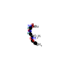 Cc1ccc(-c2ccc(C(=O)NC(Cc3ccc(-c4noc(-c5ccc(NC(=O)OC(C)(C)C)cc5F)n4)c(F)c3)C(=O)O)o2)cc1